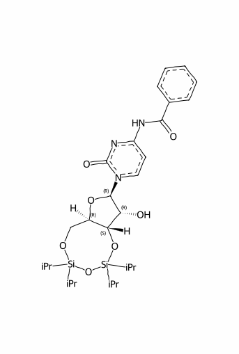 CC(C)[Si]1(C(C)C)OC[C@H]2O[C@@H](n3ccc(NC(=O)c4ccccc4)nc3=O)[C@H](O)[C@@H]2O[Si](C(C)C)(C(C)C)O1